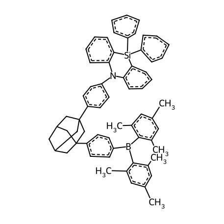 Cc1cc(C)c(B(c2ccc(C34CC5CC(C3)CC(c3ccc(N6c7ccccc7[Si](c7ccccc7)(c7ccccc7)c7ccccc76)cc3)(C5)C4)cc2)c2c(C)cc(C)cc2C)c(C)c1